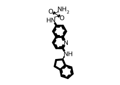 NS(=O)(=O)Nc1ccc2nc(N[C@@H]3CCc4ccccc43)ccc2c1